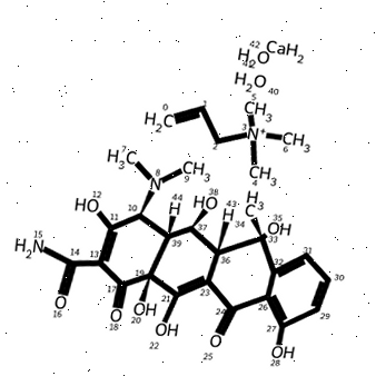 C=CC[N+](C)(C)C.CN(C)[C@@H]1C(O)=C(C(N)=O)C(=O)[C@@]2(O)C(O)=C3C(=O)c4c(O)cccc4[C@@](C)(O)[C@H]3[C@H](O)[C@@H]12.O.O.[CaH2]